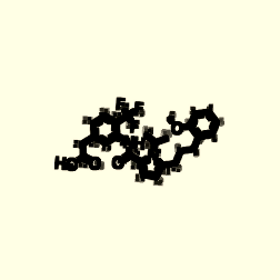 COc1ccccc1CCCc1ccc(C(=O)Nc2cc(CC(=O)O)ccc2C(F)(F)F)n1C(C)C